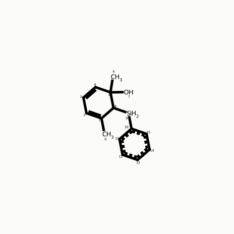 CC1=CC=CC(C)(O)C1[SiH2]c1ccccc1